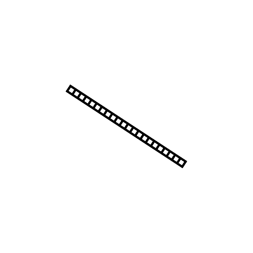 C1CC2C1C1C2C2C1C1C2C2C1C1C2C2C1C1C2C2C1C1C2C2C3C4C5C6C7C8C9C%10C%11C%12CCC%12C%11C%10C9C8C7C6C5C4C3C12